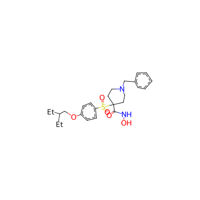 CCC(CC)COc1ccc(S(=O)(=O)C2(C(=O)NO)CCN(Cc3ccccc3)CC2)cc1